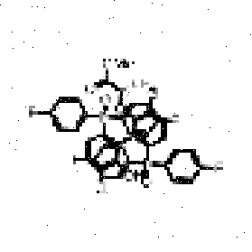 COC(=O)[C@H](C)Oc1c(Cl)ccc(P(=O)(c2ccc(F)cc2)c2ccc(F)cc2)c1-c1c(P(=O)(c2ccc(F)cc2)c2ccc(F)cc2)ccc(Cl)c1O